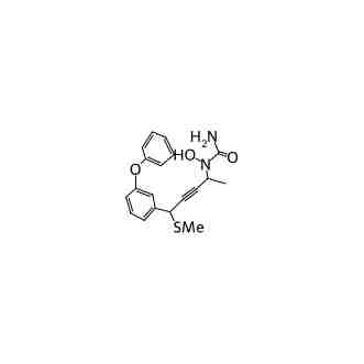 CSC(C#CC(C)N(O)C(N)=O)c1cccc(Oc2ccccc2)c1